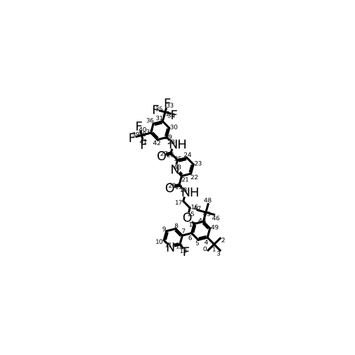 CC(C)(C)c1cc(-c2cccnc2F)c(OCCNC(=O)c2cccc(C(=O)Nc3cc(C(F)(F)F)cc(C(F)(F)F)c3)n2)c(C(C)(C)C)c1